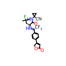 CC(C)(F)C[C@H](N[C@@H](c1ccc(C2=CC(=O)OC2)cc1)C(F)(F)F)C(=O)NC1(C#N)CC1